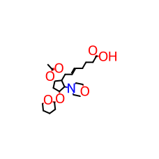 CC(=O)OC1CC(OC2CCCCO2)C(N2CCOCC2)C1CC=CCCCC(=O)O